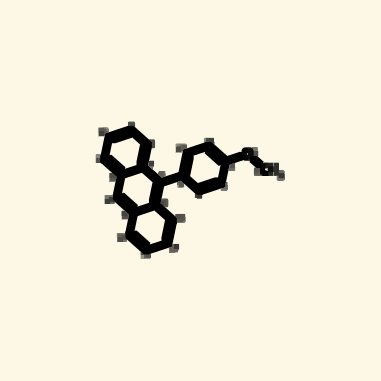 COc1ccc(-c2c3ccccc3cc3ccccc23)cc1